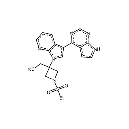 CCS(=O)(=O)N1CC(CC#N)(n2cc(-c3ncnc4[nH]ccc34)c3cccnc32)C1